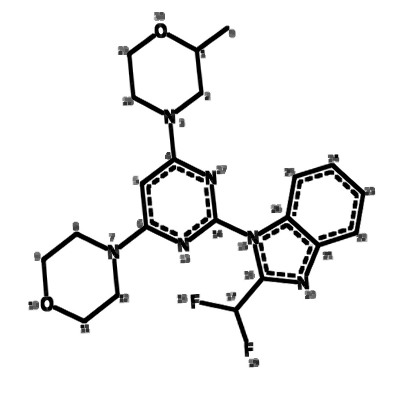 CC1CN(c2cc(N3CCOCC3)nc(-n3c(C(F)F)nc4ccccc43)n2)CCO1